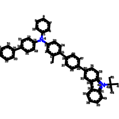 Cc1cc(N(c2ccccc2)c2ccc(-c3ccccc3)cc2)ccc1-c1ccc(-c2ccc3c(c2)c2ccccc2n3C(C)(C)C)cc1